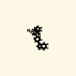 C[C@@H]1[C@@H](Nc2ncc(-c3csc4ccccc34)cn2)C2CCN1CC2